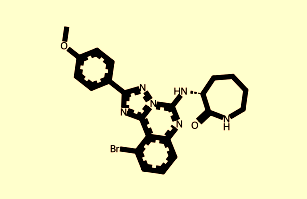 COc1ccc(-c2nc3c4c(Br)cccc4nc(N[C@@H]4CCCCNC4=O)n3n2)cc1